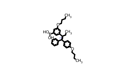 CCCCOc1ccc(/C(=C(\CC)c2cc(OCCCC)cc(B(O)O)c2)c2ccccc2)cc1